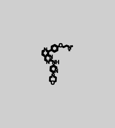 CN(C)CCOc1ccc(-c2nccc3cnc(Nc4ccc(N5CCOCC5)nc4)nc23)cc1